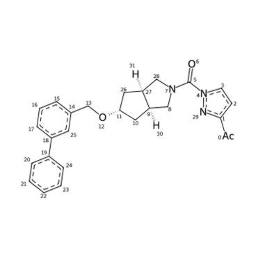 CC(=O)c1ccn(C(=O)N2C[C@H]3C[C@H](OCc4cccc(-c5ccccc5)c4)C[C@H]3C2)n1